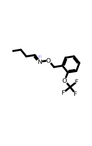 CCC/[C]=N/OCc1ccccc1OC(F)(F)F